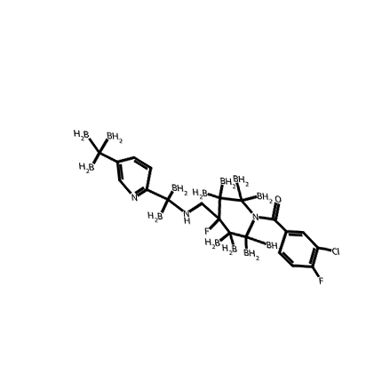 BC(B)(B)c1ccc(C(B)(B)NCC2(F)C(B)(B)C(B)(B)N(C(=O)c3ccc(F)c(Cl)c3)C(B)(B)C2(B)B)nc1